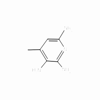 Cc1cc(N)nc(N)c1N